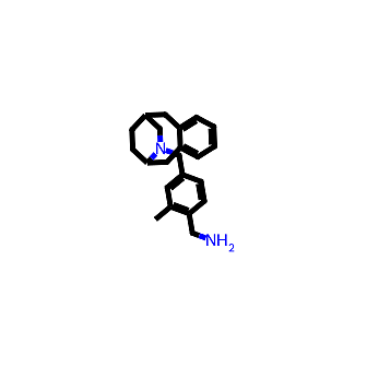 Cc1cc(CN2CC3CCC2Cc2ccccc2C3)ccc1CN